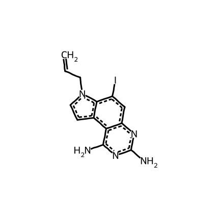 C=CCn1ccc2c3c(N)nc(N)nc3cc(I)c21